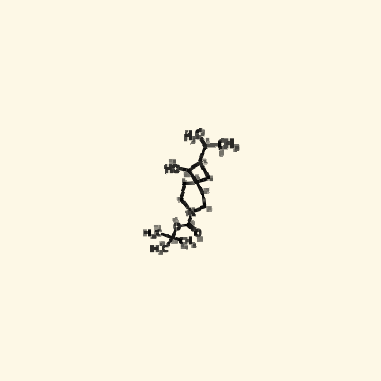 CC(C)C1CC2(CCN(C(=O)OC(C)(C)C)CC2)C1O